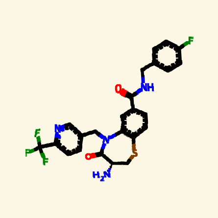 N[C@H]1CSc2ccc(C(=O)NCc3ccc(F)cc3)cc2N(Cc2ccc(C(F)(F)F)nc2)C1=O